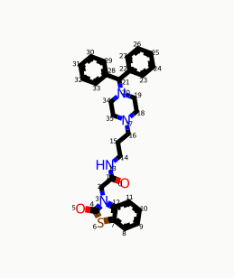 O=C(Cn1c(=O)sc2ccccc21)NCCCN1CCN(C(c2ccccc2)c2ccccc2)CC1